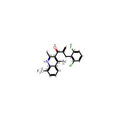 C=C(Cc1c(F)cccc1F)C(=O)c1c(C)nc2c(C(F)(F)F)cccc2c1C(C)=O